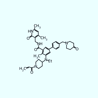 C=CC(=O)N1CCC(N(CC)c2cc(-c3ccc(CN4CCC(=O)CC4)cc3)cc(C(=O)NCc3c(C)cc(C)[nH]c3=O)c2C)CC1